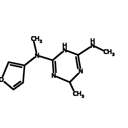 CNC1=NC(C)N=C(N(C)c2ccoc2)N1